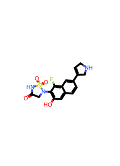 O=C1CN(c2c(O)cc3ccc(C4=CCNC4)cc3c2F)S(=O)(=O)N1